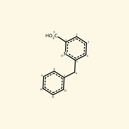 O=C(O)c1cccc(Cc2ccccc2)n1